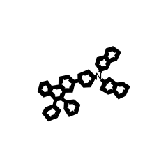 c1ccc(-c2c(-c3ccccc3)c3cc(-c4ccc(N(c5ccc6ccccc6c5)c5ccc6ccccc6c5)cc4)ccc3c3ccccc23)cc1